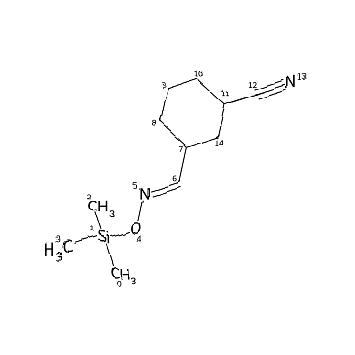 C[Si](C)(C)O/N=C/C1CCCC(C#N)C1